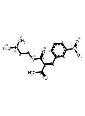 CC(=O)C(=Cc1cccc([N+](=O)[O-])c1)C(=O)NCCN(C)C